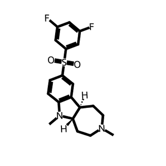 CN1CC[C@@H]2c3cc(S(=O)(=O)c4cc(F)cc(F)c4)ccc3N(C)[C@H]2CC1